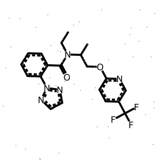 CCN(C(=O)c1ccccc1-n1nccn1)C(C)COc1ccc(C(F)(F)F)cn1